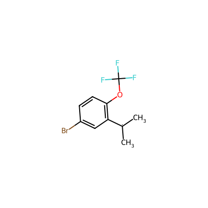 C[C](C)c1cc(Br)ccc1OC(F)(F)F